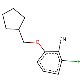 N#Cc1c(F)cccc1OCC1CCCC1